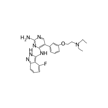 CCN(CC)CCOc1cccc(-c2cnc(N)nc2Nc2[nH]nc3cccc(F)c23)c1